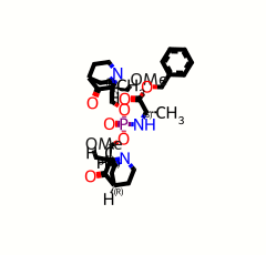 COC[C@@]1(COP(=O)(N[C@@H](C)C(=O)OCc2ccccc2)OC[C@]2(COC)C(=O)[C@@H]3CCN2[C@@H](C)C3)C(=O)C2CCN1[C@@H](C)C2